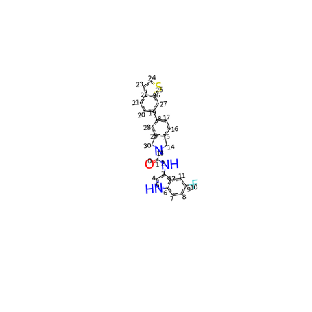 O=C(Nc1c[nH]c2ccc(F)cc12)N1Cc2ccc(-c3ccc4ccsc4c3)cc2C1